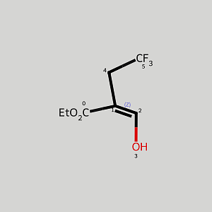 CCOC(=O)/C(=C\O)CC(F)(F)F